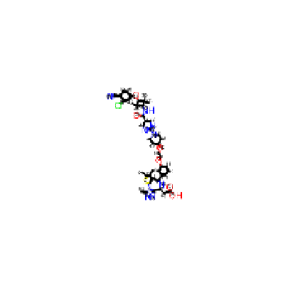 Cc1sc2c(c1C)C(c1cccc(OCCOC3CCN(c4ncc(C(=O)NC5C(C)(C)C(Oc6ccc(C#N)c(Cl)c6)C5(C)C)cn4)CC3)c1)=N[C@@H](CC(=O)O)c1nnc(C)n1-2